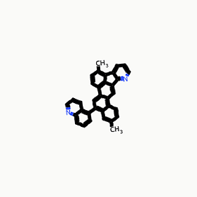 Cc1ccc2c(c1)c(-c1cccc3ncccc13)cc1c3ccc(C)c4c3c(cc21)-c1ncccc1-4